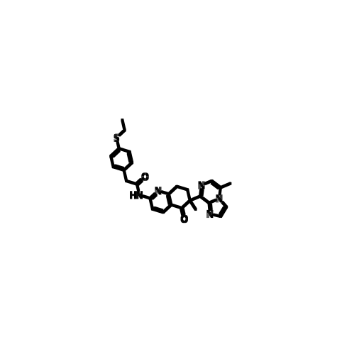 CCSc1ccc(CC(=O)Nc2ccc3c(n2)CCC(C)(c2ncc(C)n4ccnc24)C3=O)cc1